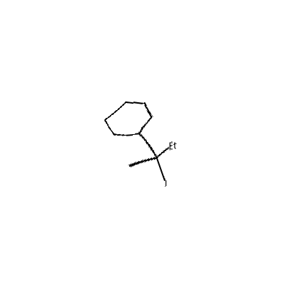 CCC(C)(I)C1CCCCC1